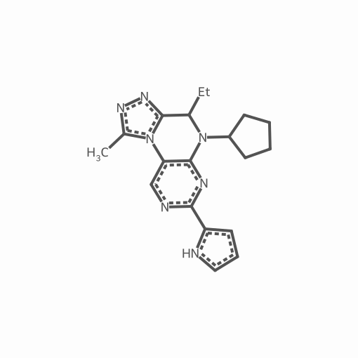 CCC1c2nnc(C)n2-c2cnc(-c3ccc[nH]3)nc2N1C1CCCC1